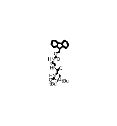 C[C@H](CNC(=O)[C@H](COC(C)(C)C)NC(=O)OC(C)(C)C)NC(=O)OCC1c2ccccc2-c2ccccc21